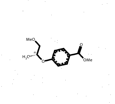 COC[C@@H](C)Oc1ccc(C(=O)OC)cc1